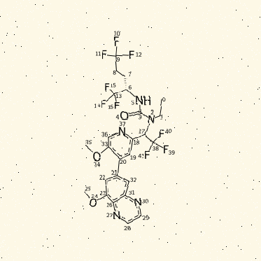 CCN(C(=O)N[C@@H](CCC(F)(F)F)C(F)(F)F)C(c1cc(-c2cc(OC)c3nccnc3c2)c(OC)cn1)C(F)(F)F